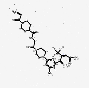 C=CC(=O)N1CCC(C(=O)NCC(=O)N2CCN(c3nc(N)nc(C(=C)/C(=C\C(=N)N)C(F)(F)F)n3)CC2)CC1